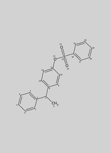 CC(c1ccccc1)c1ccc(OS(=O)(=O)c2ccccc2)cc1